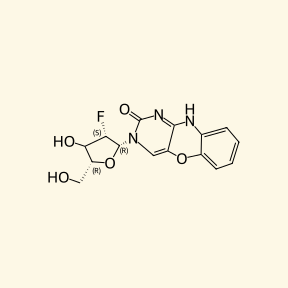 O=c1nc2c(cn1[C@@H]1O[C@H](CO)C(O)[C@@H]1F)Oc1ccccc1N2